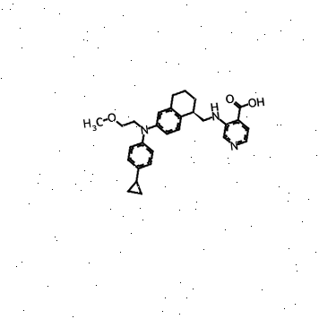 COCCN(c1ccc(C2CC2)cc1)c1ccc2c(c1)CCC[C@H]2CNc1cnccc1C(=O)O